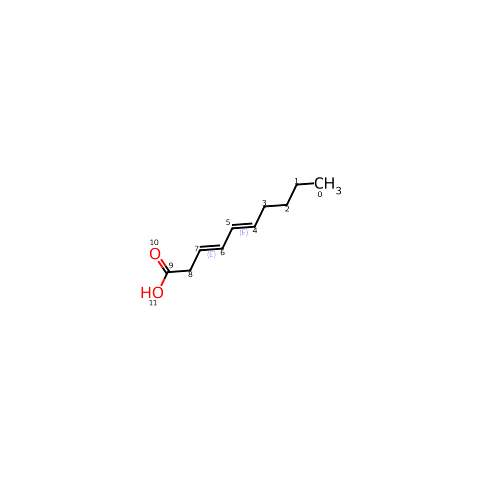 CCCC/C=C/C=C/CC(=O)O